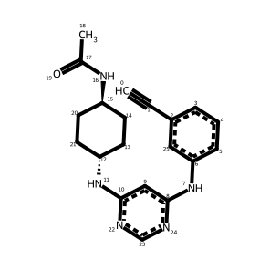 C#Cc1cccc(Nc2cc(N[C@H]3CC[C@H](NC(C)=O)CC3)ncn2)c1